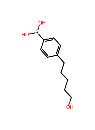 OCCCCCc1ccc(B(O)O)cc1